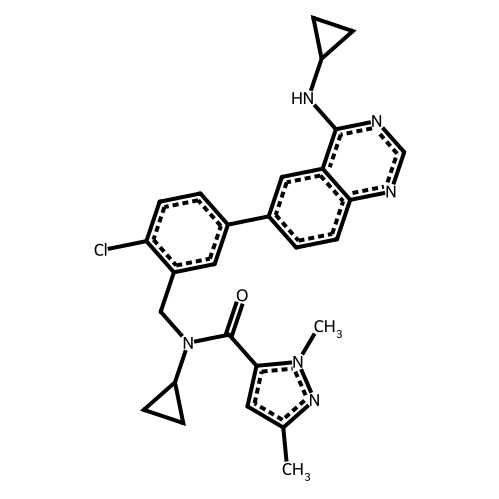 Cc1cc(C(=O)N(Cc2cc(-c3ccc4ncnc(NC5CC5)c4c3)ccc2Cl)C2CC2)n(C)n1